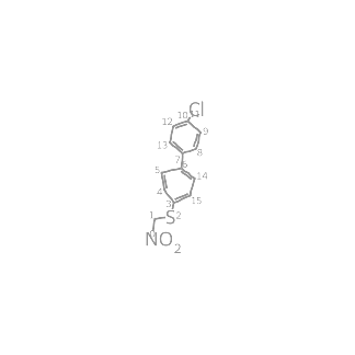 O=[N+]([O-])CSc1ccc(-c2ccc(Cl)cc2)cc1